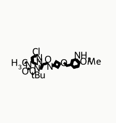 COc1ccc(COC2CC(=NC(=O)c3cnc4c(N(C)C(=O)OC(C)(C)C)cc(Cl)nn34)C2)cc1N